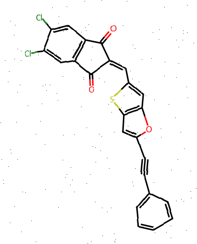 O=C1C(=Cc2cc3oc(C#Cc4ccccc4)cc3s2)C(=O)c2cc(Cl)c(Cl)cc21